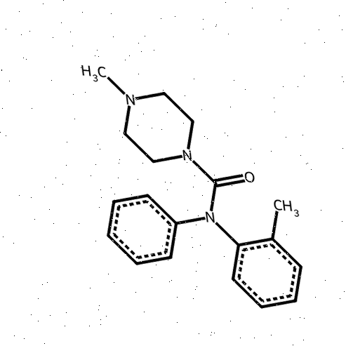 Cc1ccccc1N(C(=O)N1CCN(C)CC1)c1ccccc1